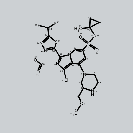 COCC1CN(c2cc(S(=O)(=O)NC3(C)CC3)cn3c(-c4nnc(C(F)F)s4)nc(Cl)c23)CCN1.O=CO